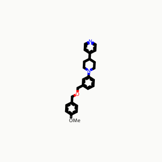 COc1ccc(COCc2cccc(N3CCC(c4ccncc4)CC3)c2)cc1